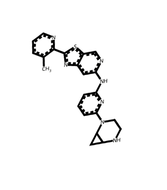 Cc1cccnc1-c1nc2cc(Nc3cccc(N4CCNC5CC54)n3)ncc2s1